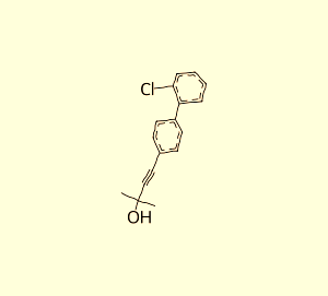 CC(C)(O)C#Cc1ccc(-c2ccccc2Cl)cc1